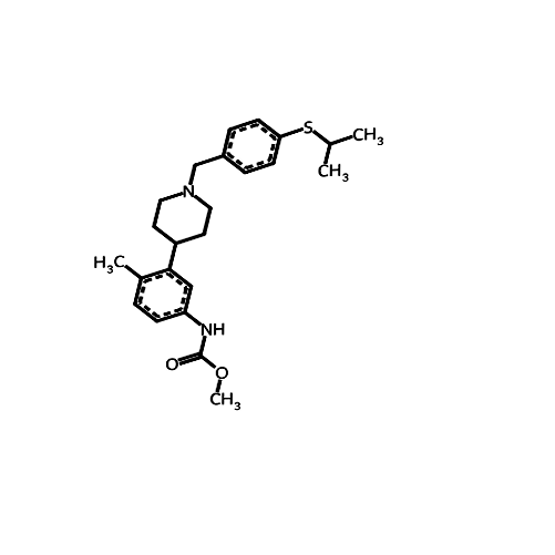 COC(=O)Nc1ccc(C)c(C2CCN(Cc3ccc(SC(C)C)cc3)CC2)c1